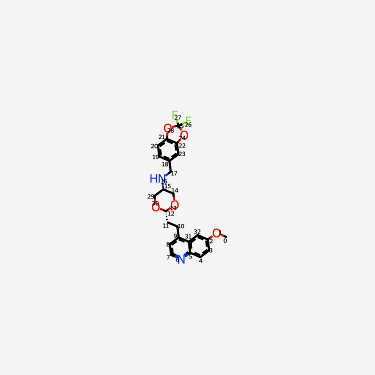 COc1ccc2nccc(CC[C@H]3OC[C@H](NCc4ccc5c(c4)OC(F)(F)O5)CO3)c2c1